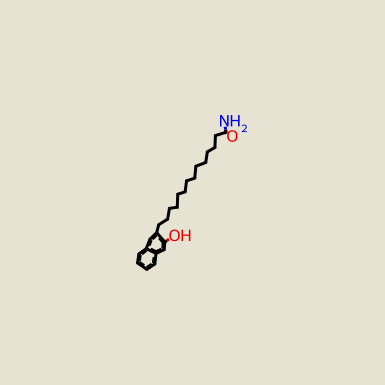 NC(=O)CCCCCCCCCCCCCc1cc2ccccc2cc1O